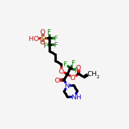 C=CC(=O)OC(OCCCCC(F)(F)C(F)(F)S(=O)(=O)O)(C(=O)N1CCNCC1)C(F)(F)F